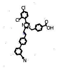 N#Cc1cccc(-c2ccc(/C=C/c3nc(-c4ccc(Cl)cc4Cl)cn3Cc3ccc(C(=O)O)cc3)cc2)c1